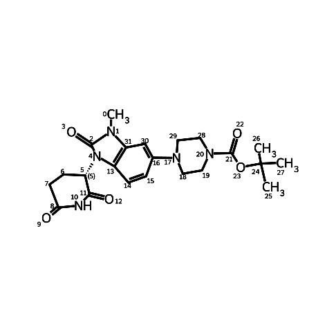 Cn1c(=O)n([C@H]2CCC(=O)NC2=O)c2ccc(N3CCN(C(=O)OC(C)(C)C)CC3)cc21